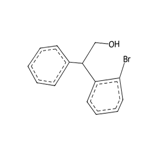 OCC(c1ccccc1)c1ccccc1Br